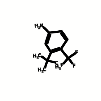 CC(C)(C)c1cc(N)ccc1C(F)(F)F